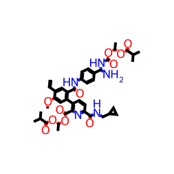 C=Cc1cc(C(=O)Nc2ccc(C(N)NC(=O)OC(C)OC(=O)C(C)C)cc2)c(-c2ccc(C(=O)NCC3CC3)nc2C(=O)OC(C)OC(=O)C(C)C)cc1OC